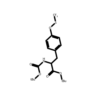 CC(C)(C)OC(=O)NC(Cc1ccc(OSC(F)(F)F)cc1)C(=O)OC(C)(C)C